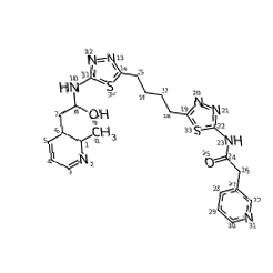 CC1N=CC=CC1CC(O)Nc1nnc(CCCCc2nnc(NC(=O)Cc3cccnc3)s2)s1